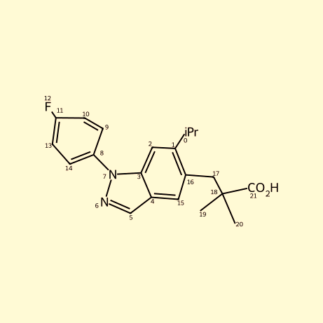 CC(C)c1cc2c(cnn2-c2ccc(F)cc2)cc1CC(C)(C)C(=O)O